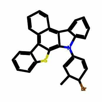 CC1C=C(n2c3ccccc3c3c4ccccc4c4c5ccccc5sc4c32)C=CC1Br